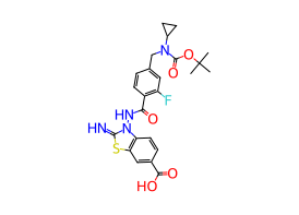 CC(C)(C)OC(=O)N(Cc1ccc(C(=O)Nn2c(=N)sc3cc(C(=O)O)ccc32)c(F)c1)C1CC1